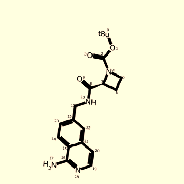 CC(C)(C)OC(=O)N1CC[C@H]1C(=O)NCc1ccc2c(N)nccc2c1